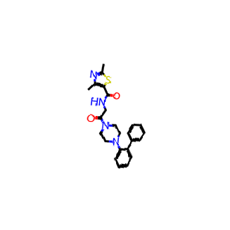 Cc1nc(C)c(C(=O)NCC(=O)N2CCN(c3ccccc3-c3ccccc3)CC2)s1